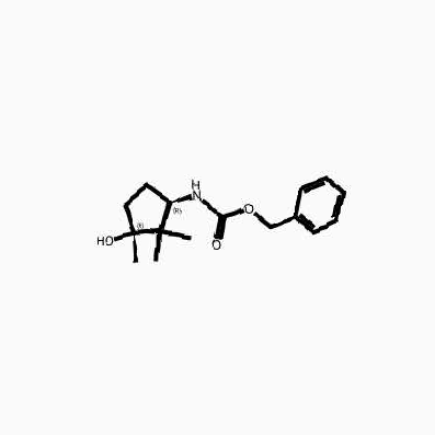 CC1(C)[C@H](NC(=O)OCc2ccccc2)CC[C@@]1(C)O